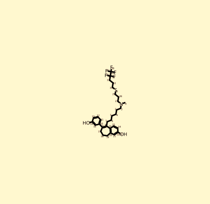 CN(CCCCCCC1=C(c2cccc(O)c2)CCCc2cc(O)ccc21)CCCSCCCC(F)(F)C(F)(F)F